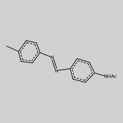 CC(=O)Nc1ccc(/N=N/c2ccc(C)cc2)cc1